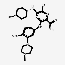 CCc1nc(C(N)=O)c(Nc2ccc(OC)c(N3CCN(C)CC3)c2)nc1N[C@H]1CC[C@H](O)CC1